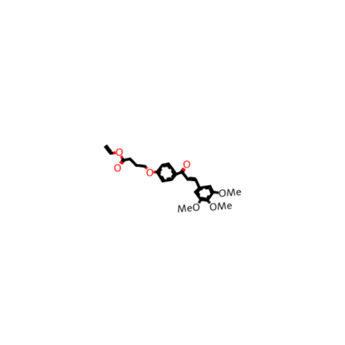 C=COC(=O)CCCOc1ccc(C(=O)/C=C/c2cc(OC)c(OC)c(OC)c2)cc1